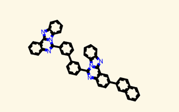 c1cc(-c2cccc(-c3nc4ccc(-c5ccc6ccccc6c5)cc4c4nc5ccccc5n34)c2)cc(-c2nc3ccccc3c3nc4ccccc4n23)c1